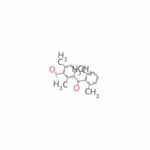 Cc1cc(C)c(C(=O)c2c(C)cccc2C)c(C)c1[C]=O